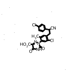 Cc1cc(CC(C#N)c2ccc(Cl)cc2)c(Cl)cc1-n1nc(C(=O)O)c(=O)[nH]c1=O